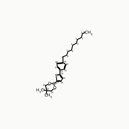 CCCCCCCCCCc1ccc(-c2ccc(B3OCC(C)(C)CO3)s2)cc1